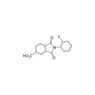 O=C(O)c1ccc2c(c1)C(=O)N(c1ccccc1F)C2=O